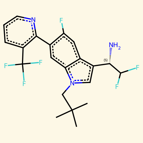 CC(C)(C)Cn1cc([C@H](N)C(F)F)c2cc(F)c(-c3ncccc3C(F)(F)F)cc21